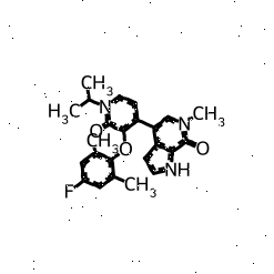 Cc1cc(F)cc(C)c1Oc1c(-c2cn(C)c(=O)c3[nH]ccc23)ccn(C(C)C)c1=O